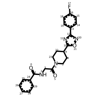 O=C(NCC(=O)N1CCC(c2nc(-c3ccc(F)cc3)no2)CC1)c1ccccc1